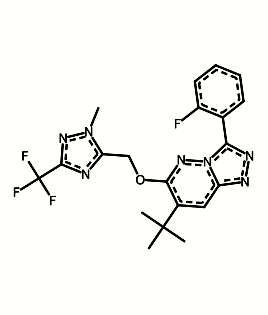 Cn1nc(C(F)(F)F)nc1COc1nn2c(-c3ccccc3F)nnc2cc1C(C)(C)C